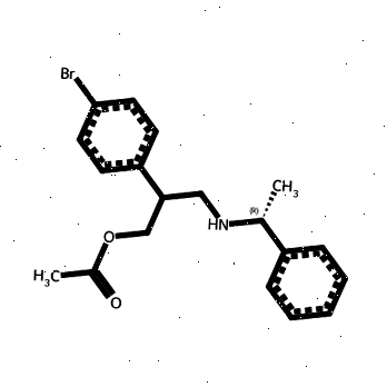 CC(=O)OCC(CN[C@H](C)c1ccccc1)c1ccc(Br)cc1